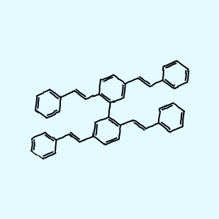 C(=Cc1ccc(C=Cc2ccccc2)c(-c2cc(C=Cc3ccccc3)ccc2C=Cc2ccccc2)c1)c1ccccc1